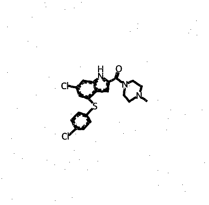 CN1CCN(C(=O)c2cc3c(Sc4ccc(Cl)cc4)cc(Cl)cc3[nH]2)CC1